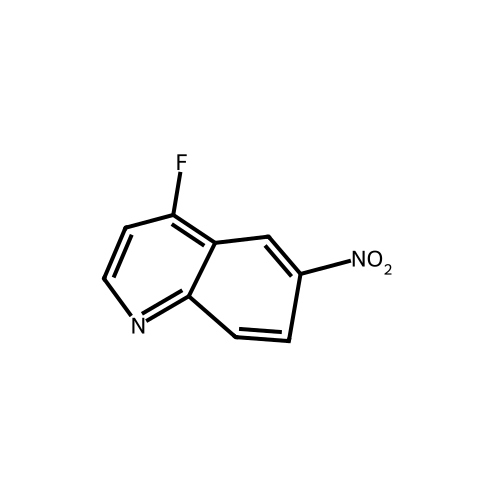 O=[N+]([O-])c1ccc2nccc(F)c2c1